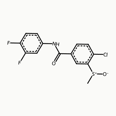 C[S+]([O-])c1cc(C(=O)Nc2ccc(F)c(F)c2)ccc1Cl